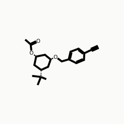 C#Cc1ccc(CO[C@H]2C[C@@H](OC(C)=O)C[C@@H](C(C)(C)C)C2)cc1